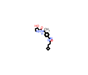 C[C@H](NC(=O)[C@H]1NCC[C@@H]1O)c1ccc(-c2noc(CCC3CCC3)n2)cc1